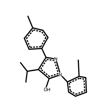 Cc1ccc(-c2nn(-c3ccccc3C)c(O)c2C(C)C)cc1